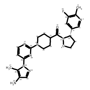 Cc1ncc([C@@H]2CCON2C(=O)C2CCN(c3nccc(-n4ncc(N)c4C)n3)CC2)cc1F